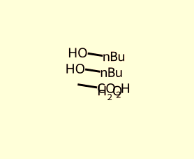 CC(=O)O.CCCCO.CCCCO.O